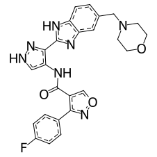 O=C(Nc1c[nH]nc1-c1nc2cc(CN3CCOCC3)ccc2[nH]1)c1conc1-c1ccc(F)cc1